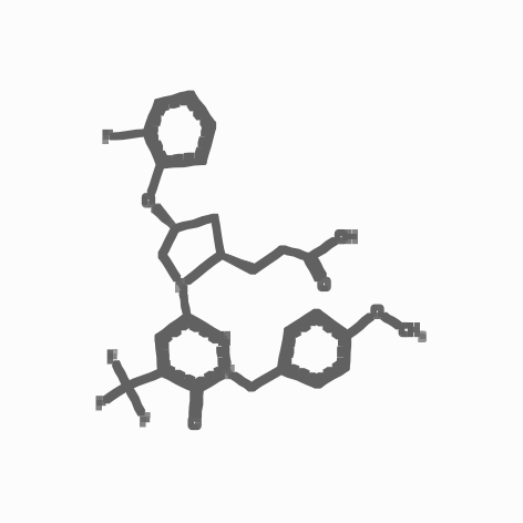 COc1ccc(Cn2nc(N3C[C@@H](Oc4ccccc4F)C[C@H]3CCC(=O)O)cc(C(F)(F)F)c2=O)cc1